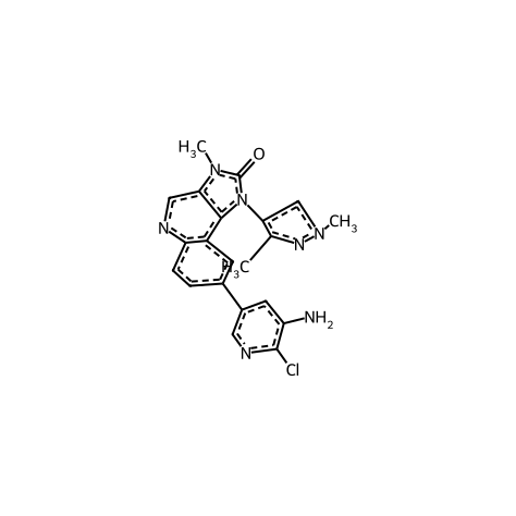 Cc1nn(C)cc1-n1c(=O)n(C)c2cnc3ccc(-c4cnc(Cl)c(N)c4)cc3c21